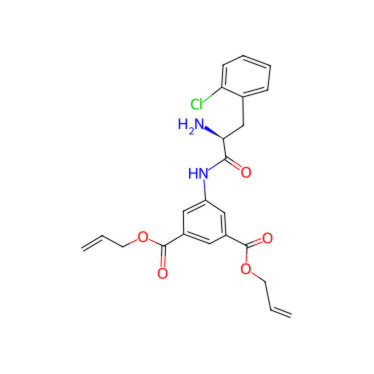 C=CCOC(=O)c1cc(NC(=O)[C@@H](N)Cc2ccccc2Cl)cc(C(=O)OCC=C)c1